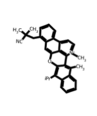 Cc1c2c(c(C(C)C)c3ccccc13)Oc1cc3c(CC(C)(C)C#N)cccc3c3cc[n+](C)c-2c13